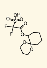 O=C(OC1CCCCC12OCCCO2)C(F)(F)S(=O)(=O)O